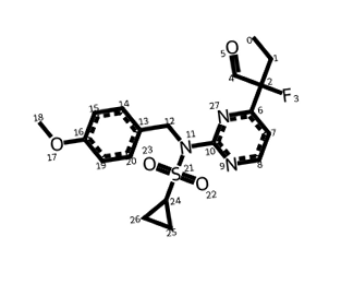 CCC(F)(C=O)c1ccnc(N(Cc2ccc(OC)cc2)S(=O)(=O)C2CC2)n1